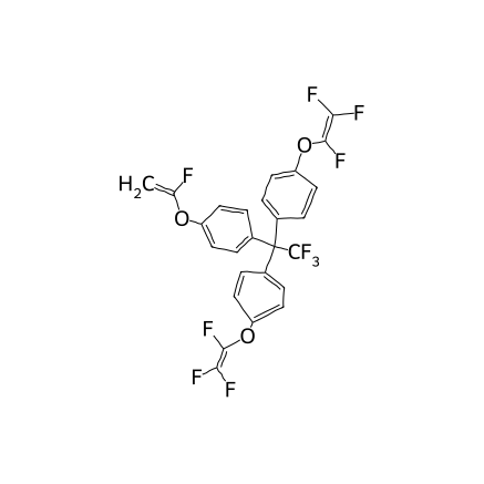 C=C(F)Oc1ccc(C(c2ccc(OC(F)=C(F)F)cc2)(c2ccc(OC(F)=C(F)F)cc2)C(F)(F)F)cc1